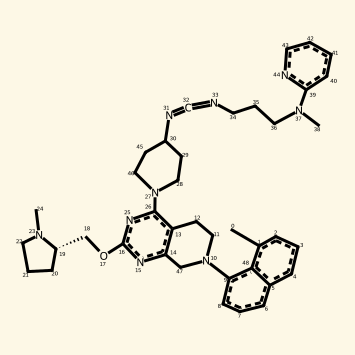 Cc1cccc2cccc(N3CCc4c(nc(OC[C@@H]5CCCN5C)nc4N4CCC(N=C=NCCCN(C)c5ccccn5)CC4)C3)c12